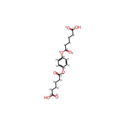 O=C(O)CCCCC(=O)Oc1ccc(OC(=O)CCCCC(=O)O)cc1